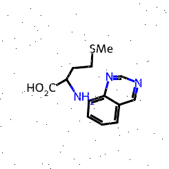 CSCCC(N)C(=O)O.c1ccc2ncncc2c1